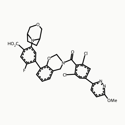 COc1ccc(-c2cc(Cl)c(C(=O)N3COc4c(cccc4-c4cc(N5C6CCC5COC6)c(C(=O)O)cc4F)C3)c(Cl)c2)nn1